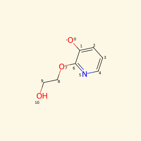 [O]c1cccnc1OCCO